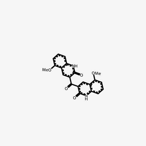 COc1cccc2[nH]c(=O)c(C(=O)c3cc4c(OC)cccc4[nH]c3=O)cc12